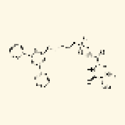 CCC(CC)(CCCCOc1cc(-c2ccccc2)cc(-c2ccccc2)n1)CNC(=O)C(CN)NC(=O)OC(C)(C)C